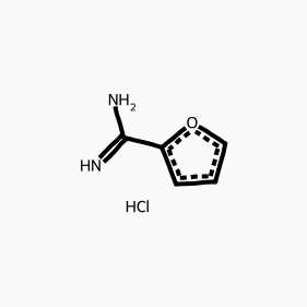 Cl.N=C(N)c1ccco1